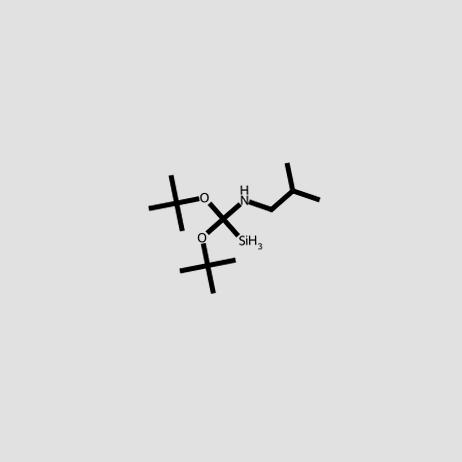 CC(C)CNC([SiH3])(OC(C)(C)C)OC(C)(C)C